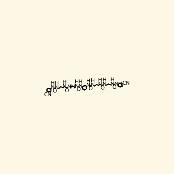 N#Cc1cccc(NC(=O)NCCCNC(=O)NCCCNC(=O)Nc2cccc(NC(=O)NCCCNC(=O)NCCCNC(=O)Nc3cccc(C#N)c3)c2)c1